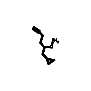 C#CCC[C@H](CC1CC1)OP